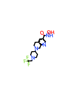 O=C(NO)c1cnc2c(c1)CCN(C1CCN(CC(F)(F)F)CC1)C2